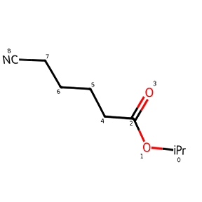 CC(C)OC(=O)CCCCC#N